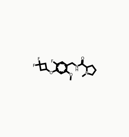 COc1cc(OC2CC(F)(F)C2)c(F)cc1CNC(=O)C1CCCN1C